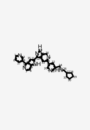 c1cncc(-c2nccc3[nH]c(-c4n[nH]c5cnc(-c6cncc(CNCC7CCCC7)c6)cc45)cc23)c1